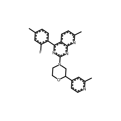 Cc1ccc(-c2nc(N3CCOC(c4ccnc(C)c4)C3)nc3nc(C)ccc23)c(F)c1